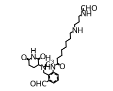 CN(Cc1c(C=O)cccc1NC(=O)CCCCCCCNCCCNC=O)C1CCC(=O)NC1=O